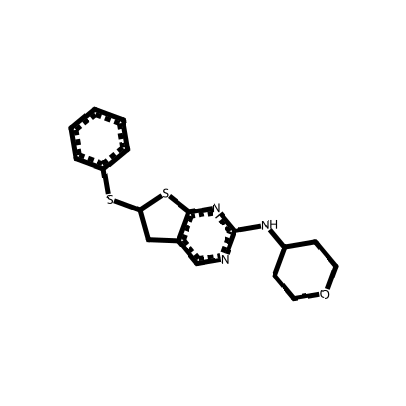 c1ccc(SC2Cc3cnc(NC4CCOCC4)nc3S2)cc1